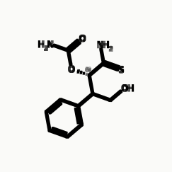 NC(=O)O[C@H](C(N)=S)C(CO)c1ccccc1